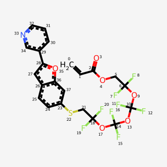 C=CC(=O)OCC(F)(F)OC(F)(F)OC(F)(F)OC(F)(F)CSc1ccc2cc(-c3cccnc3)oc2c1